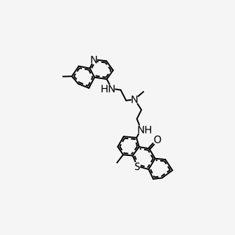 Cc1ccc2c(NCCN(C)CCNc3ccc(C)c4sc5ccccc5c(=O)c34)ccnc2c1